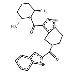 C[C@@H]1CCC[C@@H](C)N1C(=O)c1n[nH]c2c1CN(C(=O)c1cc3ccccc3[nH]1)CC2